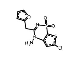 NN1C(Cc2ccco2)=NS(=O)(=O)c2sc(Cl)cc21